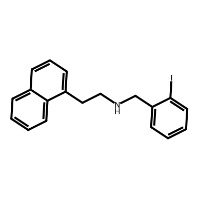 Ic1ccccc1CNCCc1cccc2ccccc12